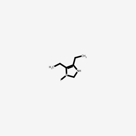 CCC1=C(CC)N(I)CN1